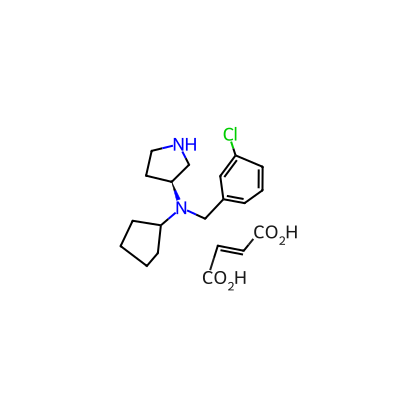 Clc1cccc(CN(C2CCCC2)[C@H]2CCNC2)c1.O=C(O)C=CC(=O)O